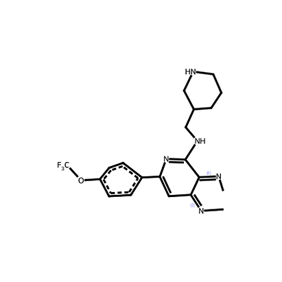 C/N=C1/C=C(c2ccc(OC(F)(F)F)cc2)N=C(NCC2CCCNC2)/C1=N/C